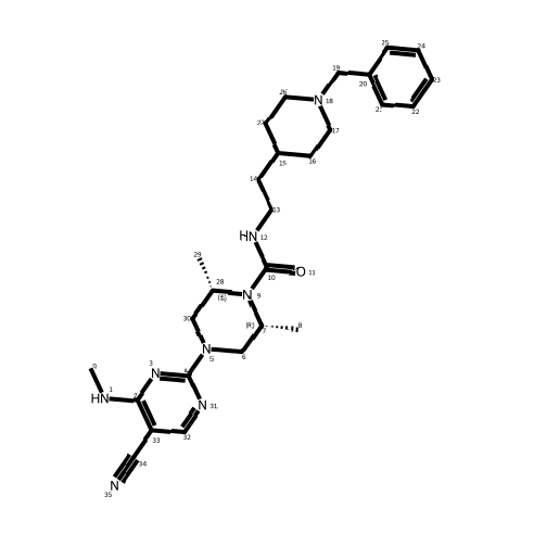 CNc1nc(N2C[C@@H](C)N(C(=O)NCCC3CCN(Cc4ccccc4)CC3)[C@@H](C)C2)ncc1C#N